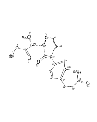 CC(=O)O[C@@H](C(=O)OC(C)(C)C)[C@H]1OCCN(c2ccc3c(c2)NC(=O)CC3)C1=O